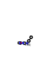 CCOC(=O)N1C2CCC1CC(N1CCC(N(C(C)=O)c3ccc(-c4ccccc4)cc3)CC1)C2